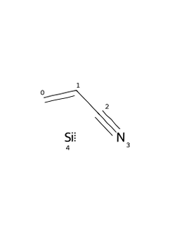 C=CC#N.[Si]